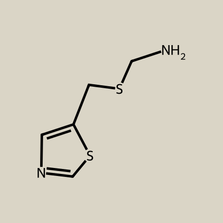 NCSCc1cncs1